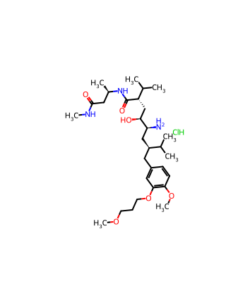 CNC(=O)C[C@@H](C)NC(=O)[C@@H](C[C@H](O)[C@@H](N)C[C@H](Cc1ccc(OC)c(OCCCOC)c1)C(C)C)C(C)C.Cl